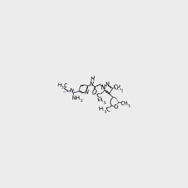 C/C=C\N=C(/N)c1ccc(NC(=O)Cn2nc(C)c(C3CC(C)OC(C)C3)c2C)nc1